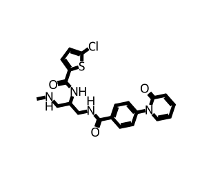 CNCC(CNC(=O)c1ccc(-n2ccccc2=O)cc1)NC(=O)c1ccc(Cl)s1